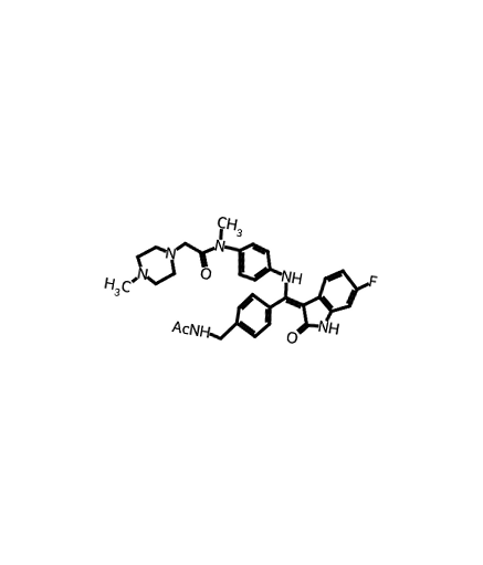 CC(=O)NCc1ccc(C(Nc2ccc(N(C)C(=O)CN3CCN(C)CC3)cc2)=C2C(=O)Nc3cc(F)ccc32)cc1